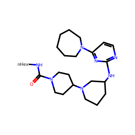 CCCCCCNC(=O)N1CCC(N2CCCC(Nc3nccc(N4CCCCCC4)n3)C2)CC1